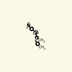 Cc1ccc(Cn2cc(-c3nc(-c4ccc(C5(F)COC5)cc4)no3)cc2C)cc1